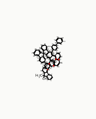 CC1(C)c2ccccc2-c2cc(N(c3ccccc3)c3ccc4c(c3)C3(c5ccccc5-4)c4ccccc4-c4c3cc(N(c3ccccc3)c3ccccc3)c(-c3ccccc3)c4-c3ccc(-c4ccccc4)cc3)ccc21